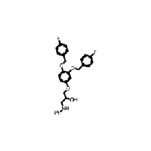 CC(C)NCC(O)COc1ccc(OCc2ccc(F)cc2)c(OCc2ccc(F)cc2)c1